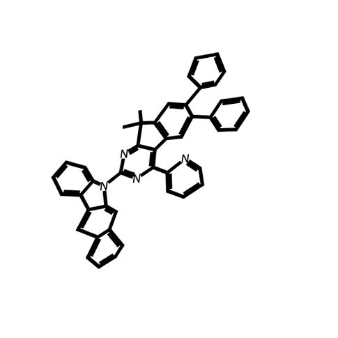 CC1(C)c2cc(-c3ccccc3)c(-c3ccccc3)cc2-c2c(-c3ccccn3)nc(-n3c4ccccc4c4cc5ccccc5cc43)nc21